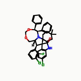 CC1(C)CCC2(CC1)N1[C@H](c3ccccc3)[C@H](c3ccccc3)OCOC[C@H]1[C@H](c1cccc(Cl)c1F)[C@@]21C(=O)Nc2cc(Cl)ccc21